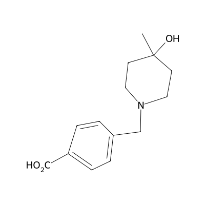 CC1(O)CCN(Cc2ccc(C(=O)O)cc2)CC1